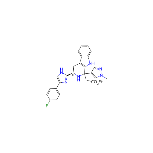 CCOC(=O)CC1(c2cnn(C)c2)N[C@@H](c2nc(-c3ccc(F)cc3)c[nH]2)Cc2c1[nH]c1ccccc21